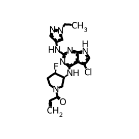 C=CC(=O)N1CC[C@@H](F)[C@@H](Nc2nc(Nc3cnn(CC)c3)nc3[nH]cc(Cl)c23)C1